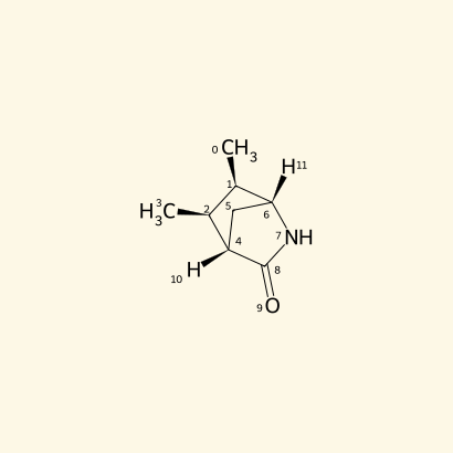 C[C@@H]1[C@H](C)[C@@H]2C[C@H]1NC2=O